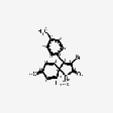 Cc1ccc(C2=C(Br)C(=O)N(C)C23C=CC(=O)C=C3)cc1